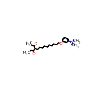 CCC(=O)C(CCCCCCCCCCOc1cccc(N(C)C)c1)C(=O)CC